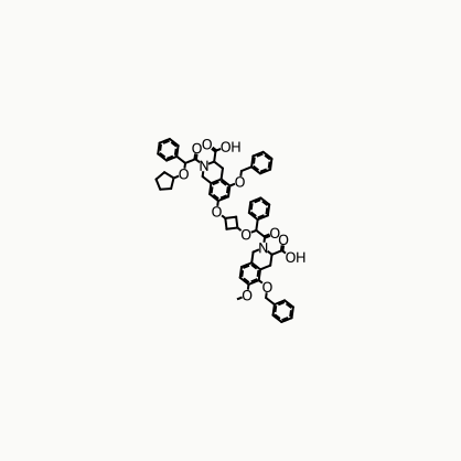 COc1ccc2c(c1OCc1ccccc1)CC(C(=O)O)N(C(=O)C(OC1CC(Oc3cc4c(c(OCc5ccccc5)c3)CC(C(=O)O)N(C(=O)C(OC3CCCC3)c3ccccc3)C4)C1)c1ccccc1)C2